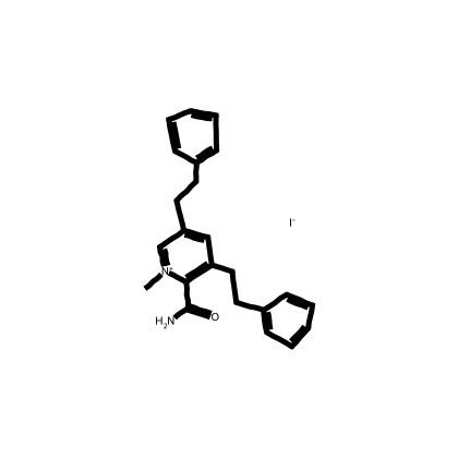 C[n+]1cc(CCc2ccccc2)cc(CCc2ccccc2)c1C(N)=O.[I-]